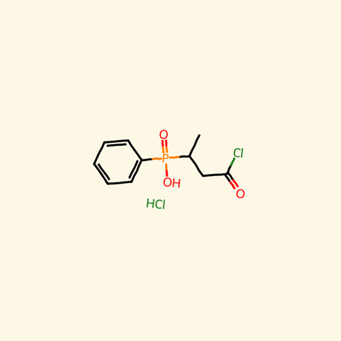 CC(CC(=O)Cl)P(=O)(O)c1ccccc1.Cl